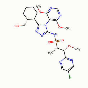 COc1ncnc(OC)c1-n1c(NS(=O)(=O)[C@@H](C)[C@H](OC)c2ncc(Cl)cn2)nnc1[C@@H]1CCCC[C@H]1CO